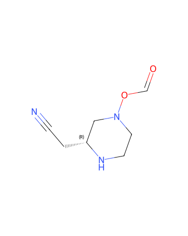 N#CC[C@@H]1CN(OC=O)CCN1